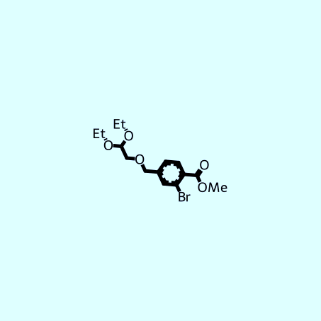 CCOC(COCc1ccc(C(=O)OC)c(Br)c1)OCC